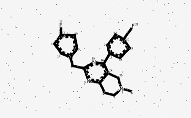 CN1CCc2nc(Cc3ccc(F)cc3)nc(-c3ccc(F)cc3)c2C1